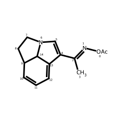 CC(=O)O/N=C(\C)C1=CN2CCC3C=CC=C1C32